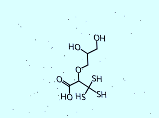 O=C(O)C(OCC(O)CO)C(S)(S)S